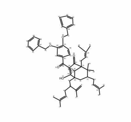 C=C(C)C(CC=C(C)C)CC12CC(CC=C(C)C)C(C)(C)C(CC=C(C)C)(C(=O)C(C(=O)c3ccc(OCc4ccccc4)c(OCc4ccccc4)c3)=C1O)C2O